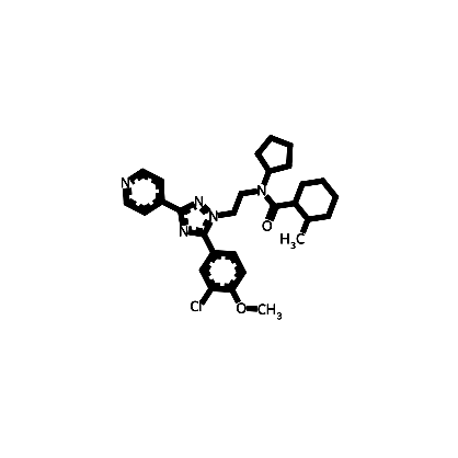 COc1ccc(-c2nc(-c3ccncc3)nn2CCN(C(=O)C2CCCCC2C)C2CCCC2)cc1Cl